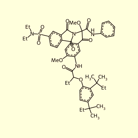 CCC(Oc1ccc(C(C)(C)CC)cc1C(C)(C)CC)C(=O)Nc1cc(C(=O)C(OC)(C(=O)Nc2ccccc2)N2C(=O)c3ccc(S(=O)(=O)N(CC)CC)cc3C2=O)ccc1OC